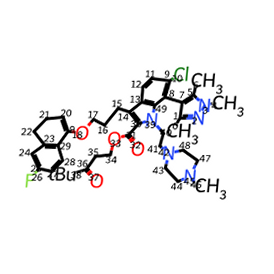 Cc1nn(C)c(C)c1-c1c(Cl)ccc2c(CCCOC3=CCCc4cc(F)ccc43)c(C(=O)OCCC(=O)C(C)(C)C)n(CCN3CCN(C)CC3)c12